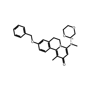 Cc1c2n(c(N(C)[C@H]3COCCO3)cc1=O)CCc1cc(OCc3ccccc3)ccc1-2